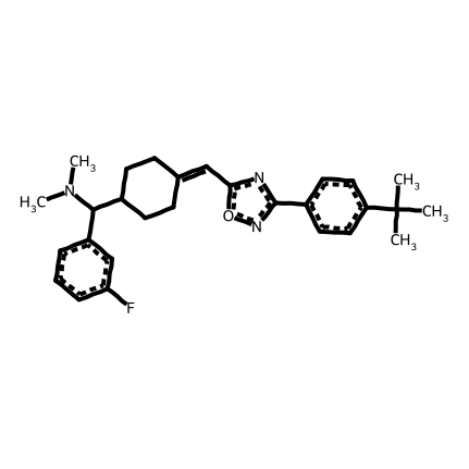 CN(C)C(c1cccc(F)c1)C1CCC(=Cc2nc(-c3ccc(C(C)(C)C)cc3)no2)CC1